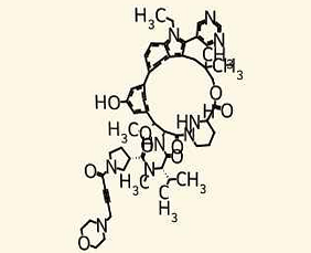 CCn1c(-c2cncnc2)c2c3cc(ccc31)-c1cc(O)cc(c1)[C@@H](OC)[C@H](NC(=O)[C@H](C(C)C)N(C)C(=O)[C@H]1CCN(C(=O)C#CCN3CCOCC3)C1)C(=O)N1CCC[C@H](N1)C(=O)OCC(C)(C)C2